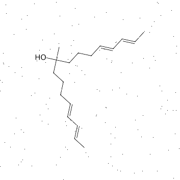 CC=CC=CCCCC(C)(O)CCCC=CC=CC